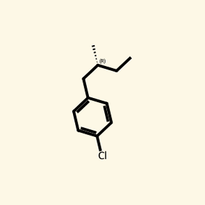 CC[C@@H](C)Cc1ccc(Cl)cc1